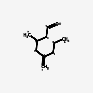 C=C(CCC)CC(C)CC=O